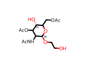 CC(=O)NC1C(OC(C)=O)[C@H](O)C(COC(C)=O)O[C@H]1OCCO